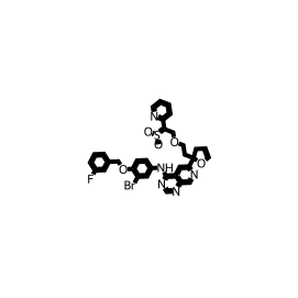 O=S(=O)=C(COCCC1(c2cc3c(Nc4ccc(OCc5cccc(F)c5)c(Br)c4)ncnc3cn2)CC=CO1)c1ccccn1